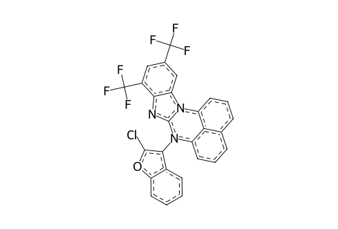 FC(F)(F)c1cc(C(F)(F)F)c2nc3n(-c4c(Cl)oc5ccccc45)c4cccc5cccc(c54)n3c2c1